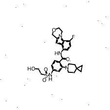 O=C(Nc1ccc(F)c2c1cc1n2CCOC1)c1ccc(NS(=O)(=O)CCO)cc1N1CCC2(CC1)CC2